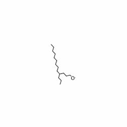 CCCCCCCCCC(CCC)CCC[O]